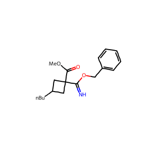 CCCCC1CC(C(=N)OCc2ccccc2)(C(=O)OC)C1